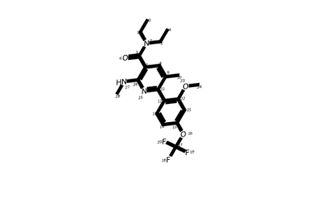 CCN(CC)C(=O)c1cc(C)c(-c2ccc(OC(F)(F)F)cc2OC)nc1NC